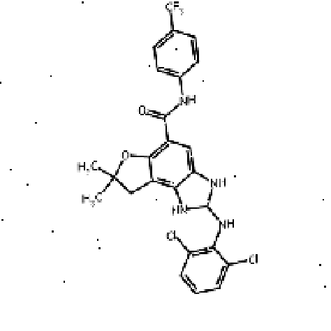 CC1(C)Cc2c3c(cc(C(=O)Nc4ccc(C(F)(F)F)cc4)c2O1)NC(Nc1c(Cl)cccc1Cl)N3